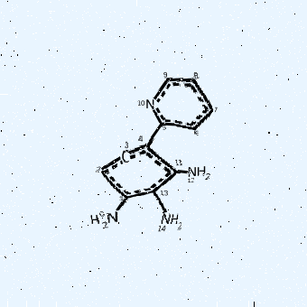 Nc1ccc(-c2ccccn2)c(N)c1N